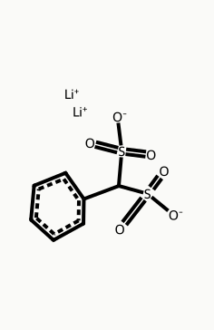 O=S(=O)([O-])C(c1ccccc1)S(=O)(=O)[O-].[Li+].[Li+]